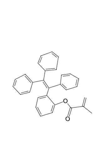 C=C(C)C(=O)Oc1ccccc1C(=C(c1ccccc1)c1ccccc1)c1ccccc1